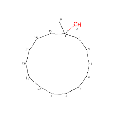 CC1(O)CCCCCCCCCCCCC1